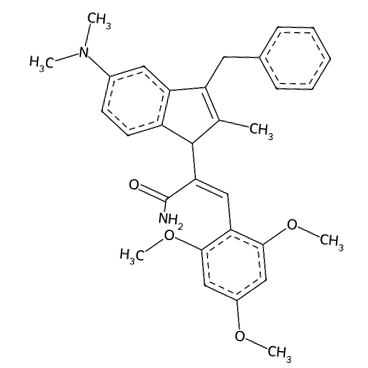 COc1cc(OC)c(C=C(C(N)=O)C2C(C)=C(Cc3ccccc3)c3cc(N(C)C)ccc32)c(OC)c1